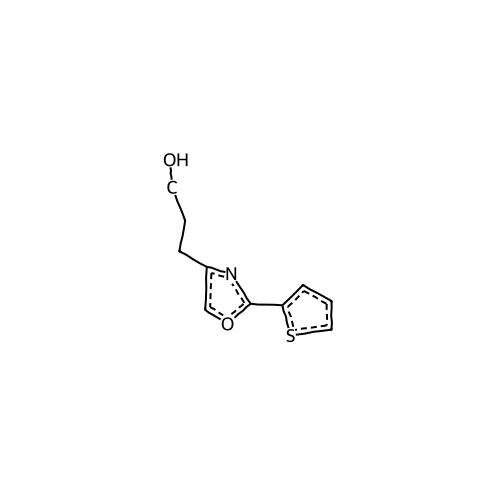 OCCCc1coc(-c2cccs2)n1